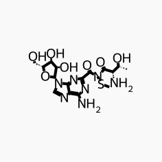 CSN(C(=O)c1nc(N)c2ncn([C@@H]3O[C@H](CO)[C@@H](O)[C@H]3O)c2n1)C(=O)[C@@H](N)[C@@H](C)O